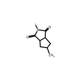 CC1CC2C(=O)N(I)C(=O)C2C1